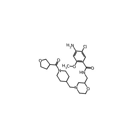 COc1cc(N)c(Cl)cc1C(=O)NCC1CN(CC2CCN(C(=O)C3CCOC3)CC2)CCO1